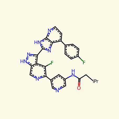 CC(C)CC(=O)Nc1cncc(-c2ncc3[nH]nc(-c4nc5c(-c6ccc(F)cc6)ccnc5[nH]4)c3c2F)c1